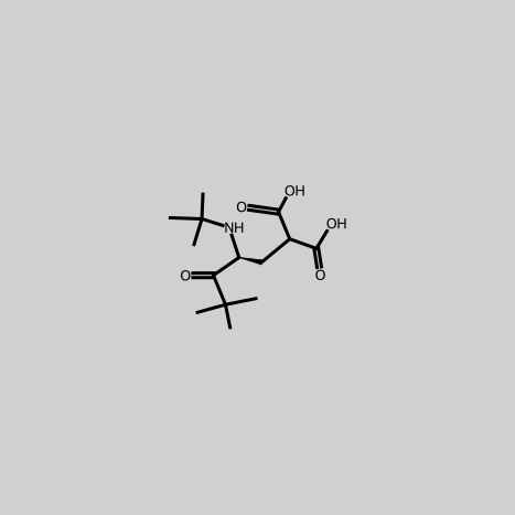 CC(C)(C)N[C@@H](CC(C(=O)O)C(=O)O)C(=O)C(C)(C)C